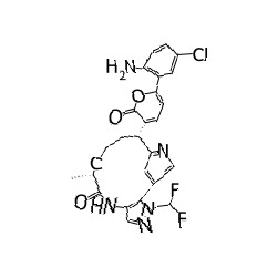 C[C@@H]1CCC[C@H](c2ccc(-c3cc(Cl)ccc3N)oc2=O)c2cc(ccn2)-c2c(cnn2C(F)F)NC1=O